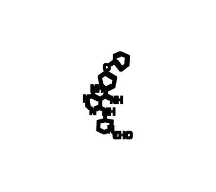 N=C(C1=CC=C(Oc2ccccc2)CC1)c1c(N)ncnc1NC1CCCN(C=O)C1